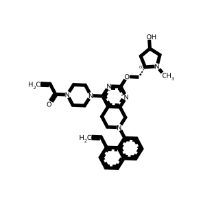 C=CC(=O)N1CCN(c2nc(OC[C@@H]3CC(O)CN3C)nc3c2CCN(c2cccc4cccc(C=C)c24)C3)CC1